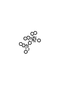 C1=CC2C(c3ccccc31)c1cc3ccccc3cc1N2c1ccc(-c2nc(-c3ccccc3)nc(-c3cccc4ccccc34)n2)c(-c2cccc3ccccc23)c1